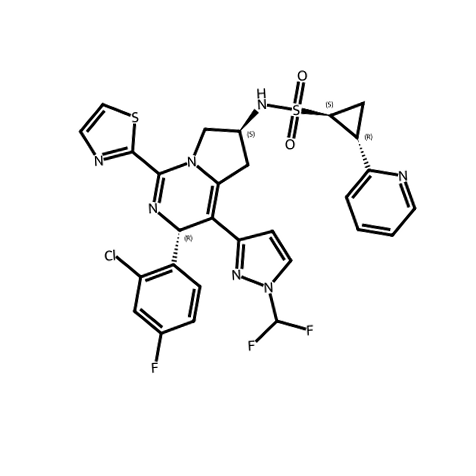 O=S(=O)(N[C@H]1CC2=C(c3ccn(C(F)F)n3)[C@H](c3ccc(F)cc3Cl)N=C(c3nccs3)N2C1)[C@H]1C[C@@H]1c1ccccn1